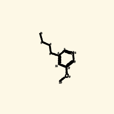 CCCCc1cncc(OC)c1